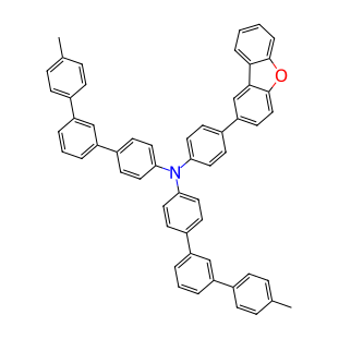 Cc1ccc(-c2cccc(-c3ccc(N(c4ccc(-c5cccc(-c6ccc(C)cc6)c5)cc4)c4ccc(-c5ccc6oc7ccccc7c6c5)cc4)cc3)c2)cc1